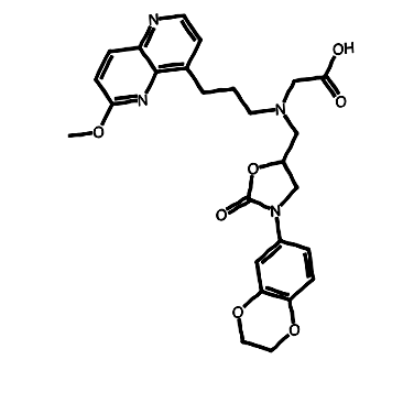 COc1ccc2nccc(CCCN(CC(=O)O)CC3CN(c4ccc5c(c4)OCCO5)C(=O)O3)c2n1